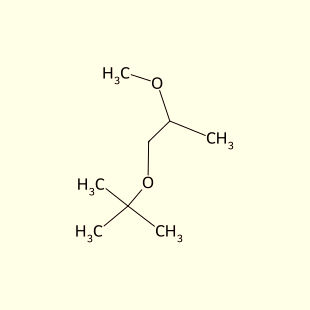 COC(C)COC(C)(C)C